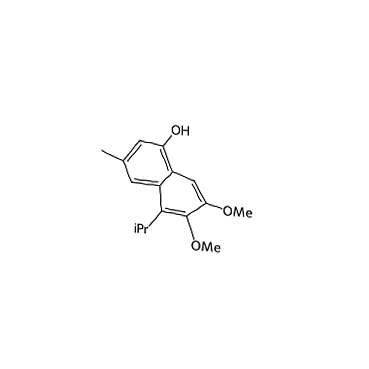 COc1cc2c(O)cc(C)cc2c(C(C)C)c1OC